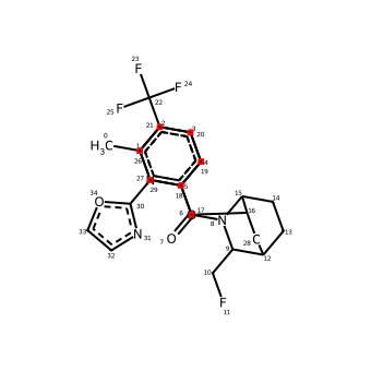 Cc1cccc(C(=O)N2C(CF)C3CCC2C(Oc2ccc(C(F)(F)F)cn2)C3)c1-c1ncco1